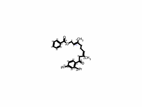 CC(=CCC/C(C)=C/COC(=O)c1ccccc1)CC(=O)c1ccc(C(C)C)cc1C(C)C